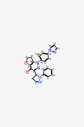 O=c1c(C2CC=NN2c2ccccc2)nn(-c2ccc(-n3cccn3)cc2F)c2c1OCC2